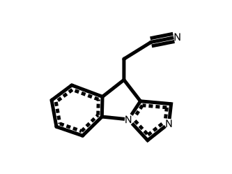 N#CCC1c2ccccc2-n2cncc21